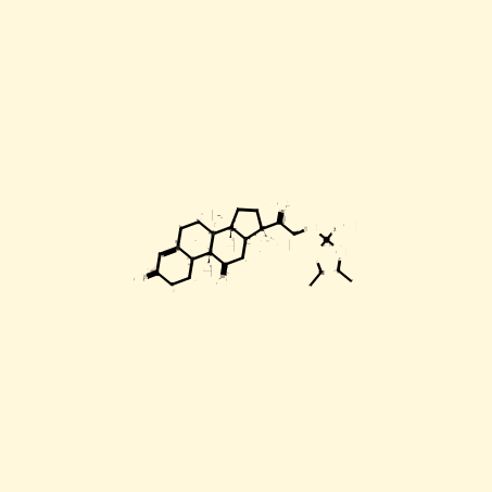 CCOC(O)(OCC)OCC(=O)[C@@]1(O)CC[C@H]2[C@@H]3CCC4=CC(=O)CC[C@]4(C)[C@H]3C(=O)C[C@@]21C